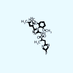 COc1cccc(OC)c1-n1c(NS(=O)(=O)C(C)Cc2ncc(F)cn2)nnc1-c1cc(C)[nH]n1